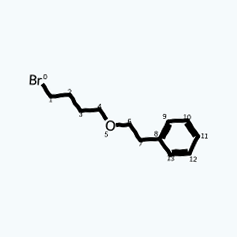 BrCCCCOCCc1ccccc1